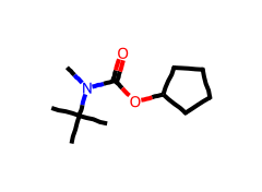 CN(C(=O)OC1CCCC1)C(C)(C)C